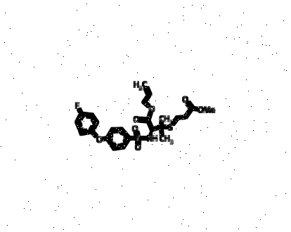 C=CCOC(=O)[C@H](NS(=O)(=O)c1ccc(Oc2ccc(F)cc2)cc1)C(C)(C)SCCC(=O)OC